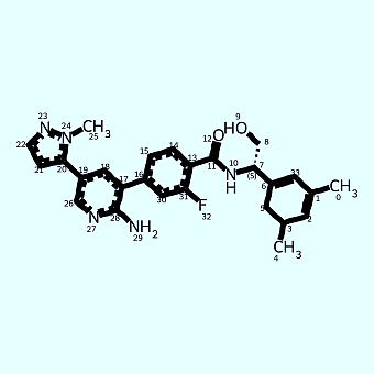 CC1=CC(C)CC([C@@H](CO)NC(=O)c2ccc(-c3cc(-c4ccnn4C)cnc3N)cc2F)=C1